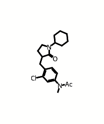 CC(=O)N(C)c1ccc(CC2CCN(C3CCCCC3)C2=O)c(Cl)c1